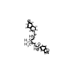 C[C@@H](CNS(=O)(=O)c1ccc2oncc2c1)[SiH2]CNSN1CCc2cc(Cl)ccc2C1